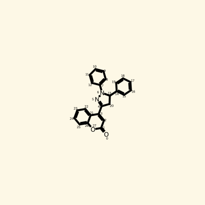 O=c1cc(C2=NN(c3ccccc3)C(c3ccccc3)C2)c2ccccc2o1